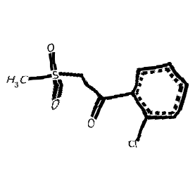 CS(=O)(=O)CC(=O)c1ccccc1Cl